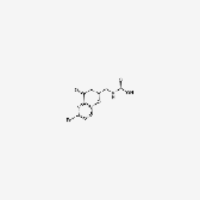 O=C(O)NCC1CC(=O)c2cc(Br)ccc2O1